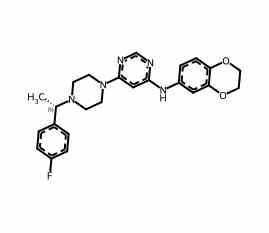 C[C@@H](c1ccc(F)cc1)N1CCN(c2cc(Nc3ccc4c(c3)OCCO4)ncn2)CC1